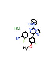 COc1ccc(-c2c(-c3ccc(C#N)c(F)c3)nc(N3CC4CC(C3)C4N)n3ccnc23)cc1F.Cl